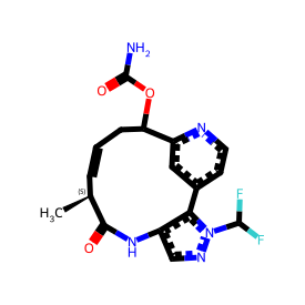 C[C@H]1C=CCC(OC(N)=O)c2cc(ccn2)-c2c(cnn2C(F)F)NC1=O